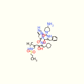 CCCS(=O)(=O)NC[C@H](C)C[C@H](O)[C@H](CC1CCCCC1)NC(=O)[C@H](Cc1c[nH]cn1)NC(=O)[C@H](Cc1ccccc1)NC(=O)N1CCC(N)CC1